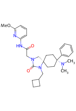 COc1cccc(NC(=O)CN2C[C@]3(CC[C@@](c4ccccc4)(N(C)C)CC3)N(CC3CCC3)C2=O)n1